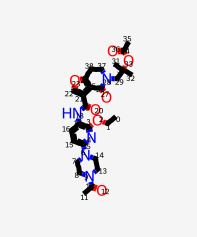 CCOc1nc(N2CCN(C(C)=O)CC2)ccc1NC(=O)c1coc2c1C(=O)N(CC(C)(C)OC(C)=O)CC2